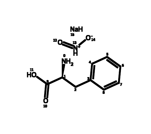 N[C@@H](Cc1ccccc1)C(=O)O.O=[NH+][O-].[NaH]